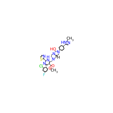 COC(=O)C1=C(CN2CCN3C(O)N(c4ccc(-c5cnc(C)[nH]5)cc4)C[C@@H]3C2)NC(c2nccs2)=N[C@H]1c1ccc(F)cc1Cl